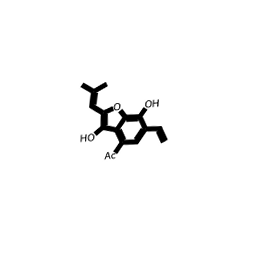 C=Cc1cc(C(C)=O)c2c(O)c(C=C(C)C)oc2c1O